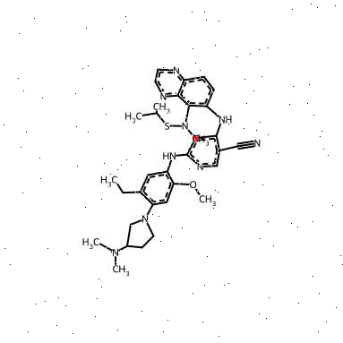 CCc1cc(Nc2ncc(C#N)c(Nc3ccc4nccnc4c3N(C)SC(C)C)n2)c(OC)cc1N1CCC(N(C)C)C1